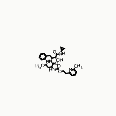 Cc1cccc(CCOC(=O)NC(CC(C)C)C(=O)NC(Cc2ccccc2)C(O)C(=O)NC2CC2)n1